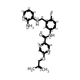 C=C(C)COc1cnc(C(=O)Nc2ccc(F)c(CNc3cccnc3N)c2)cn1